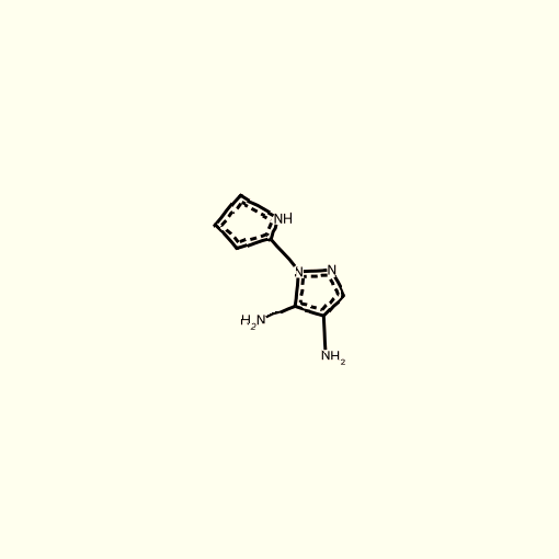 Nc1cnn(-c2ccc[nH]2)c1N